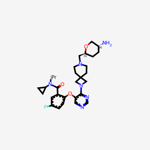 CC(C)N(C(=O)c1cc(F)ccc1Oc1cncnc1N1CC2(CCN(C[C@@H]3CC[C@@H](N)CO3)CC2)C1)C1CC1